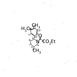 CCOC(=O)C(=O)N1CC(C)CCC1c1ccc(C)c(C)c1